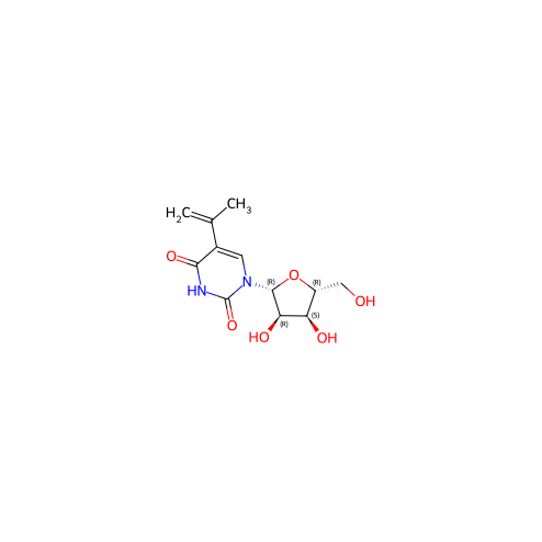 C=C(C)c1cn([C@@H]2O[C@H](CO)[C@@H](O)[C@H]2O)c(=O)[nH]c1=O